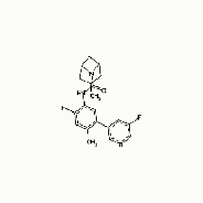 Cc1cc(F)c(NC(=O)N2C3CC(C)CC2C3)cc1-c1cncc(F)c1